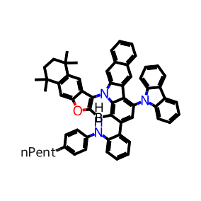 CCCCCc1ccc(Nc2ccccc2-c2cc(-n3c4ccccc4c4ccccc43)c3c4cc5ccccc5cc4n4c3c2Bc2oc3cc5c(cc3c2-4)C(C)(C)CCC5(C)C)cc1